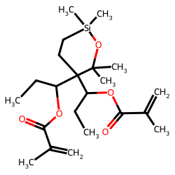 C=C(C)C(=O)OC(CC)C1(C(CC)OC(=O)C(=C)C)CC[Si](C)(C)OC1(C)C